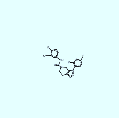 O=C(Nc1ccc(F)c(Cl)c1)N1CCn2nnc(-c3ccc(F)cc3F)c2C1